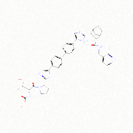 COC(=O)N[C@H](C(=O)N1CCC[C@H]1c1ncc(-c2ccc(-c3ccc(-c4cnc([C@@H]5C6CCC(C6)[C@H]5C(=O)NCc5cccnc5F)[nH]4)cc3)cc2)[nH]1)[C@@H](C)OC